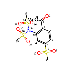 COC(=O)c1ccc(S(C)(=O)=O)cc1N(S(C)(=O)=O)S(C)(=O)=O